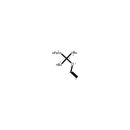 C=COC(CCCC)(CCCC)CCCCC